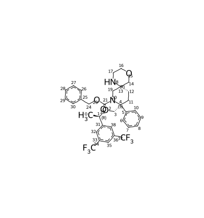 C[C@@H](OC[C@@]1(c2ccccc2)CC[C@]2(COCCN2)CN1C(=O)OCc1ccccc1)c1cc(C(F)(F)F)cc(C(F)(F)F)c1